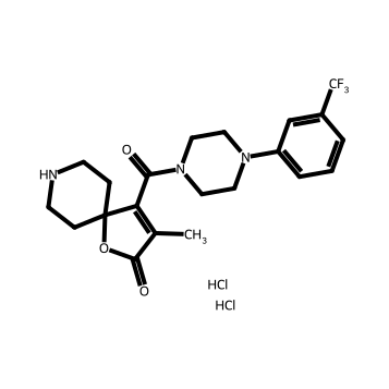 CC1=C(C(=O)N2CCN(c3cccc(C(F)(F)F)c3)CC2)C2(CCNCC2)OC1=O.Cl.Cl